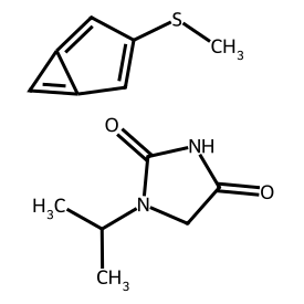 CC(C)N1CC(=O)NC1=O.CSc1cc2cc-2c1